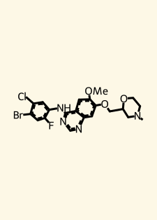 COc1cc2c(Nc3cc(Cl)c(Br)cc3F)ncnc2cc1OCC1CN(C)CCO1